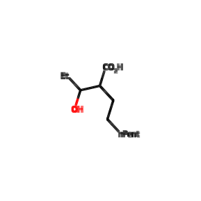 CCCCCCCC(C(=O)O)C(O)CC